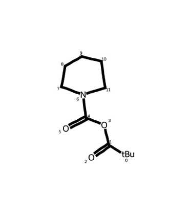 CC(C)(C)C(=O)OC(=O)N1CCCCC1